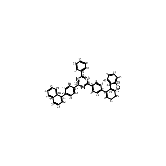 C1=C(c2ccc(-c3nc(-c4ccccc4)nc(-c4ccc(-c5cccc6ccccc56)cc4)n3)cc2)c2c(oc3ccccc23)CC1